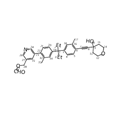 CCC(CC)(c1ccc(C#CC2(O)CCOCC2)c(C)c1)c1ccc(-c2cncc(COC=O)c2)c(C)c1